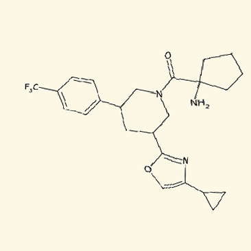 NC1(C(=O)N2CC(c3ccc(C(F)(F)F)cc3)CC(c3nc(C4CC4)co3)C2)CCCC1